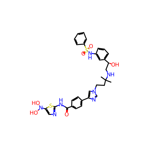 CC(C)(CCn1cnc(-c2ccc(C(=O)Nc3ncc(N(O)O)s3)cc2)c1)NC[C@H](O)c1cccc(NS(=O)(=O)c2ccccc2)c1